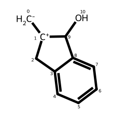 [CH2-][C+]1Cc2ccccc2C1O